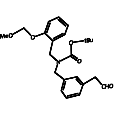 COCOc1ccccc1CN(Cc1cccc(CC=O)c1)C(=O)OC(C)(C)C